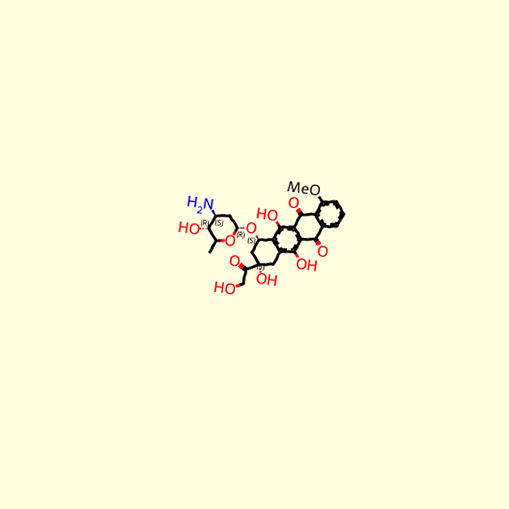 COc1cccc2c1C(=O)c1c(O)c3c(c(O)c1C2=O)C[C@@](O)(C(=O)CO)C[C@@H]3O[C@H]1C[C@H](N)[C@@H](O)C(C)O1